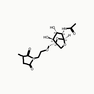 CC(=O)N[C@@H]1[C@H]2OC[C@](COCCN3C(=O)CC(C)C3=O)(O2)[C@@H](O)[C@@H]1O